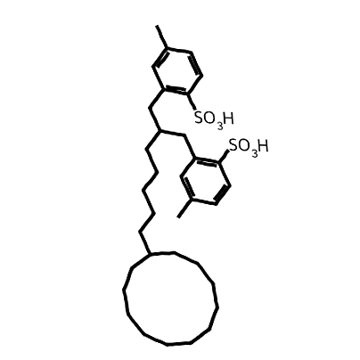 Cc1ccc(S(=O)(=O)O)c(CC(CCCCCC2CCCCCCCCCCC2)Cc2cc(C)ccc2S(=O)(=O)O)c1